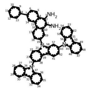 Nc1c(N)c2ccc(-c3ccccc3)cc2c2ccc(-n3c4ccc(-n5c6ccccc6c6ccccc65)cc4c4ccc(-n5c6ccccc6c6ccccc65)cc43)cc12